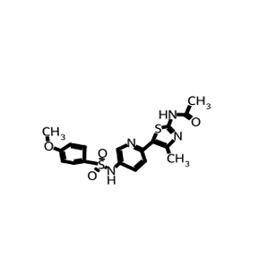 COc1ccc(S(=O)(=O)Nc2ccc(-c3sc(NC(C)=O)nc3C)nc2)cc1